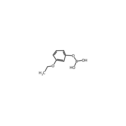 CCOc1cccc(OB(O)O)c1